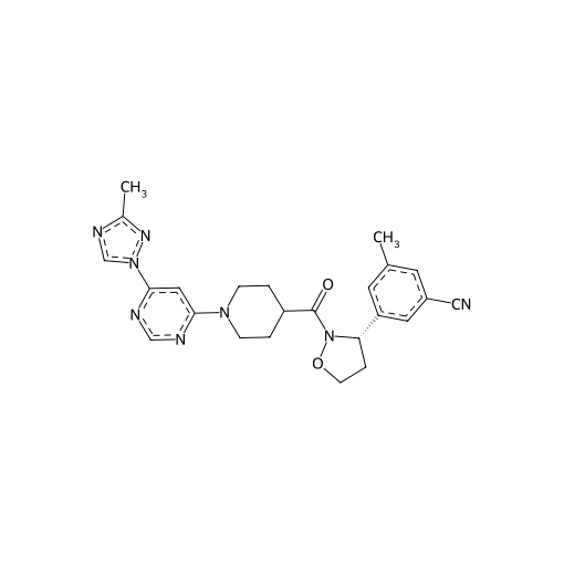 Cc1cc(C#N)cc([C@@H]2CCON2C(=O)C2CCN(c3cc(-n4cnc(C)n4)ncn3)CC2)c1